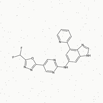 FC(F)c1nnc(-c2cnc(Nc3cc(-c4ccccn4)c4nc[nH]c4c3)nc2)o1